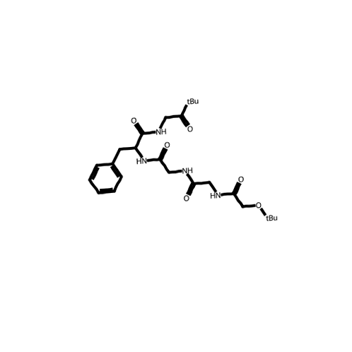 CC(C)(C)OCC(=O)NCC(=O)NCC(=O)NC(Cc1ccccc1)C(=O)NCC(=O)C(C)(C)C